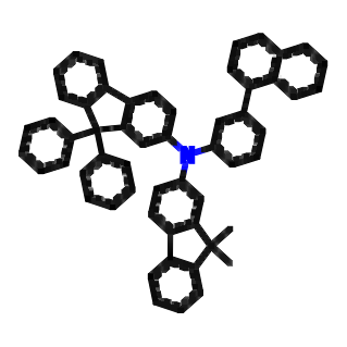 CC1(C)c2ccccc2-c2ccc(N(c3cccc(-c4cccc5ccccc45)c3)c3ccc4c(c3)C(c3ccccc3)(c3ccccc3)c3ccccc3-4)cc21